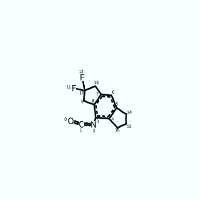 O=C=Nc1c2c(cc3c1CC(F)(F)C3)CCC2